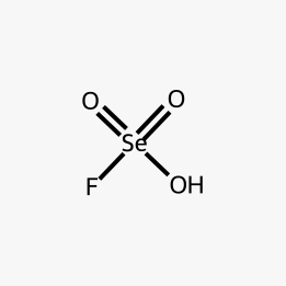 O=[Se](=O)(O)F